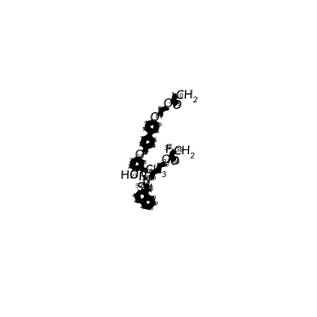 C=CC(=O)OCCCOc1ccc(-c2ccc(COc3ccc(O)c(/C(C)=N/N(CCCCCOC(=O)C(=C)F)c4nc5c(ccc6ccccc65)s4)c3)cc2)cc1